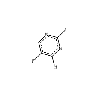 Fc1cnc(I)nc1Cl